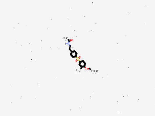 Cc1cc(S(=O)(=O)c2ccc(CCNC(=O)C(F)(F)F)cc2)ccc1OCC(=O)O